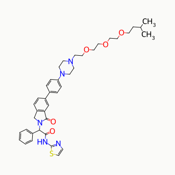 CC(C)CCOCCOCCOCCN1CCN(c2ccc(-c3ccc4c(c3)C(=O)N(C(C(=O)Nc3nccs3)c3ccccc3)C4)cc2)CC1